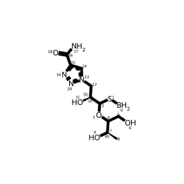 BSC(OC(CO)[C@@H](C)O)[C@@H](O)Cn1cc(C(N)=O)nn1